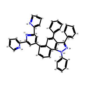 c1ccc(-c2cc3c(-c4cc(-c5ccccn5)nc(-c5ccccn5)c4)cccc3c3c2c(-c2ccccc2)nn3-c2ccccc2)cc1